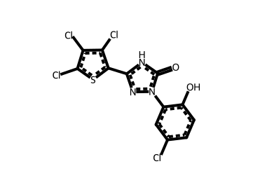 O=c1[nH]c(-c2sc(Cl)c(Cl)c2Cl)nn1-c1cc(Cl)ccc1O